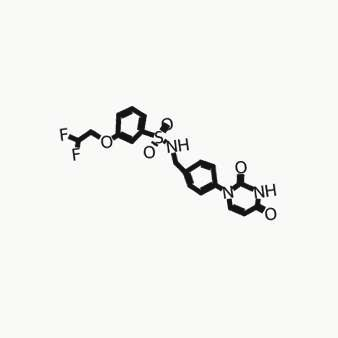 O=c1ccn(-c2ccc(CNS(=O)(=O)c3cccc(OCC(F)F)c3)cc2)c(=O)[nH]1